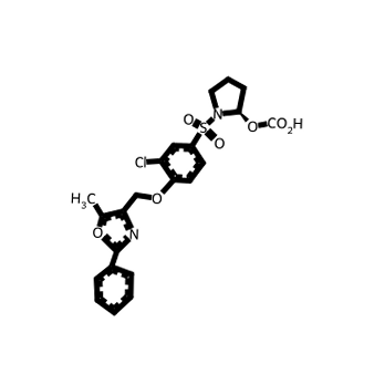 Cc1oc(-c2ccccc2)nc1COc1ccc(S(=O)(=O)N2CCC[C@H]2OC(=O)O)cc1Cl